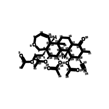 CC(=O)OCC[C@]12COCC=C[C@H]1C1(C)CCC3C(=O)C(C)[C@H](C#N)[C@@H](OC(C)=O)[C@]3(C)[C@H]1[C@H](OC(C)=O)[C@@H]2OC(C)=O